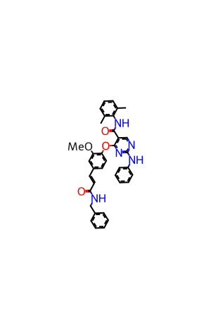 COc1cc(/C=C/C(=O)NCc2ccccc2)ccc1Oc1nc(Nc2ccccc2)ncc1C(=O)Nc1c(C)cccc1C